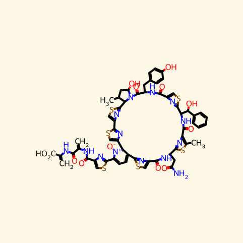 C=C(NC(=O)C(=C)NC(=O)c1csc(-c2ccc3c([n+]2[O-])-c2csc(n2)-c2csc(n2)C2C(C)CC(O)N2C(=O)C(Cc2ccc(O)cc2)NC(=O)c2csc(n2)C(C(O)c2ccccc2)NC(=O)c2nc(sc2C)C(CC(N)=O)NC(=O)c2csc-3n2)n1)C(=O)O